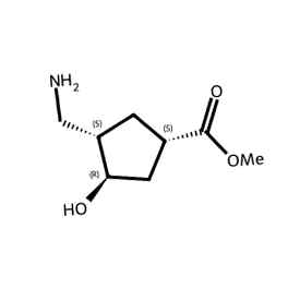 COC(=O)[C@H]1C[C@@H](CN)[C@H](O)C1